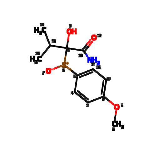 COc1ccc([S+]([O-])C(O)(C(N)=O)C(C)C)cc1